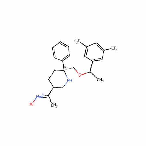 C/C(=N\O)C1CC[C@@](COC(C)c2cc(C(F)(F)F)cc(C(F)(F)F)c2)(c2ccccc2)NC1